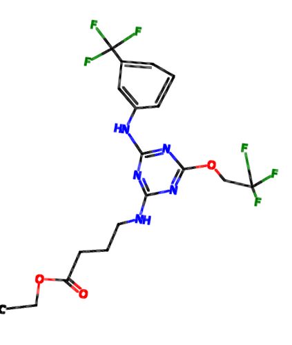 CCOC(=O)CCCNc1nc(Nc2cccc(C(F)(F)F)c2)nc(OCC(F)(F)F)n1